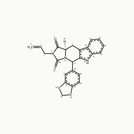 C=CCN1C(=O)[C@H]2Cc3c([nH]c4ccccc34)C(c3ccc4c(c3)OCO4)N2C1=S